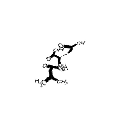 CC(C)C(=O)N[C@@H](CC(=O)O)C(=O)O